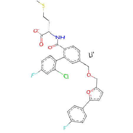 CSCC[C@H](NC(=O)c1ccc(COCc2ccc(-c3ccc(F)cc3)o2)cc1-c1ccc(F)cc1Cl)C(=O)[O-].[Li+]